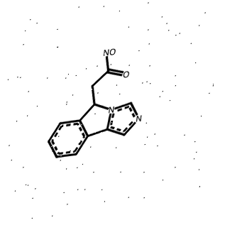 O=NC(=O)CC1c2ccccc2-c2cncn21